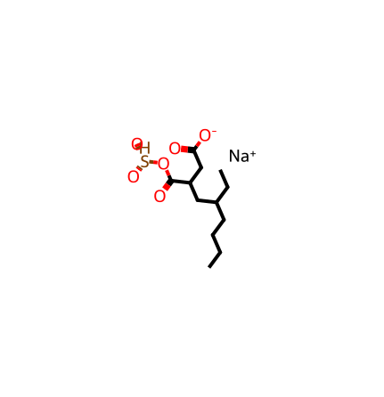 CCCCC(CC)CC(CC(=O)[O-])C(=O)O[SH](=O)=O.[Na+]